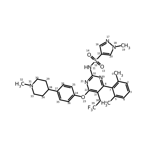 Cc1cccc(C)c1-c1nc(NS(=O)(=O)c2cnn(C)c2)nc(Oc2ccc(C3CCN(C)CC3)cc2)c1CC(F)(F)F